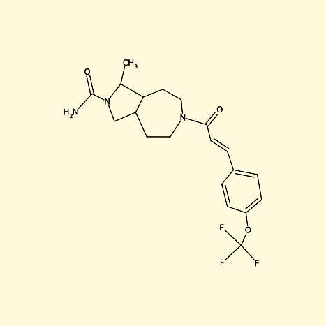 CC1C2CCN(C(=O)C=Cc3ccc(OC(F)(F)F)cc3)CCC2CN1C(N)=O